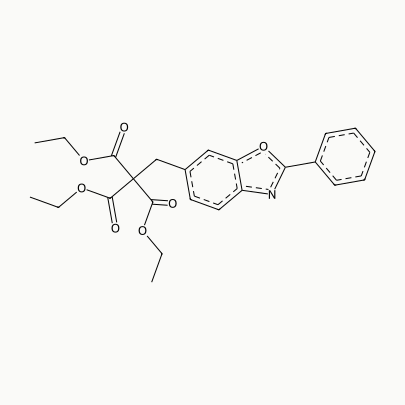 CCOC(=O)C(Cc1ccc2nc(-c3ccccc3)oc2c1)(C(=O)OCC)C(=O)OCC